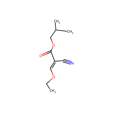 CCO/C=C(\C#N)C(=O)OCC(C)C